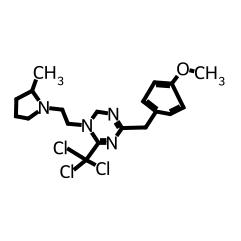 COc1ccc(CC2=NCN(CCN3CCCC3C)C(C(Cl)(Cl)Cl)=N2)cc1